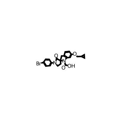 O=C(O)N1c2cc(OCC3CC3)ccc2CC12CCN(c1ccc(Br)cc1)C2=O